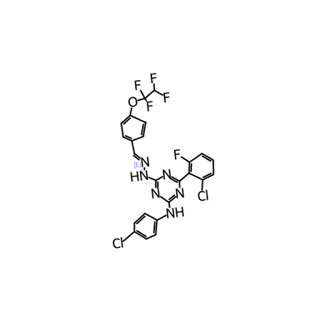 Fc1cccc(Cl)c1-c1nc(N/N=C/c2ccc(OC(F)(F)C(F)F)cc2)nc(Nc2ccc(Cl)cc2)n1